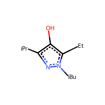 CCc1c(O)c(C(C)C)nn1C(C)CC